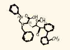 CSC(C[C@@H](C(=O)O)N(CNc1ccccc1)Cc1ccccc1)C(=O)c1ccccc1-c1ccccc1C